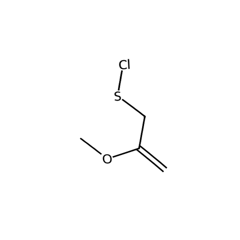 C=C(CSCl)OC